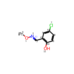 CC(C)O/N=C/c1cc(Cl)ccc1O